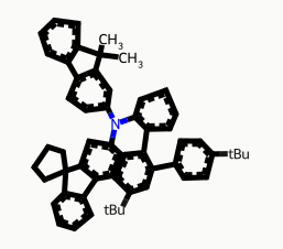 CC(C)(C)c1ccc(-c2cc(C(C)(C)C)ccc2-c2ccccc2N(c2ccc3c(c2)C(C)(C)c2ccccc2-3)c2ccc3c(c2)C2(CCCC2)c2ccccc2-3)cc1